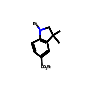 CCOC(=O)c1ccc2c(c1)C(C)(C)CN2CC